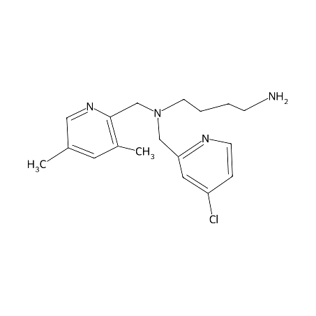 Cc1cnc(CN(CCCCN)Cc2cc(Cl)ccn2)c(C)c1